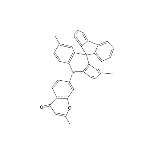 Cc1ccc2c(c1)C1(c3ccccc3-c3ccccc31)c1cc(C)ccc1N2c1ccc2c(=O)cc(C)oc2c1